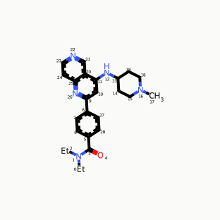 CCN(CC)C(=O)c1ccc(-c2cc(NC3CCN(C)CC3)c3cnccc3n2)cc1